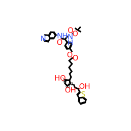 CC(C)(C)OC(=O)NCC(C(=O)Nc1ccc2cnccc2c1)c1ccc(COC(=O)CCCCCCC2[C@@H](CCC(O)c3cc4ccccc4s3)[C@H](O)C[C@@H]2O)cc1